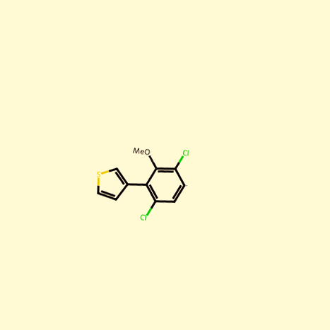 COc1c(Cl)[c]cc(Cl)c1-c1ccsc1